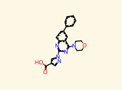 O=C(O)c1cnn(-c2nc(N3CCOCC3)c3cc(-c4ccccc4)ccc3n2)c1